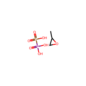 CC1CO1.O=P(O)(O)S(=O)(=O)O